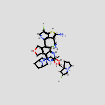 C[C@@H](O)CN1CC2CCC(C1)N2c1nc(OC[C@@]23CCCN2C[C@@H](F)C3)nc2c(F)c(-c3ncc(F)c4sc(N)c(C#N)c34)c3c(c12)COC3